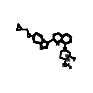 N[C@H]1CCN(c2cccc3ccc(-c4cnc5cc(OCC6CC6)ccn45)nc23)C[C@H]1F